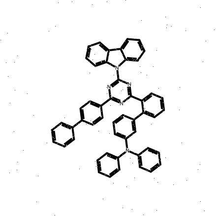 c1ccc(-c2ccc(-c3nc(-c4ccccc4-c4cccc(N(c5ccccc5)c5ccccc5)c4)nc(-n4c5ccccc5c5ccccc54)n3)cc2)cc1